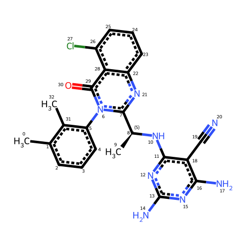 Cc1cccc(-n2c([C@H](C)Nc3nc(N)nc(N)c3C#N)nc3cccc(Cl)c3c2=O)c1C